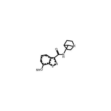 COc1cccc2c(C(=O)NC3CN4CCC3CC4)nsc12